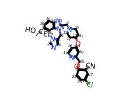 CCn1cncc1Cn1c(CN2CCC(Oc3ccnc(COc4ccc(Cl)cc4C#N)c3)CC2)nc2ccc(C(=O)O)cc21